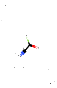 N#CC(=O)F